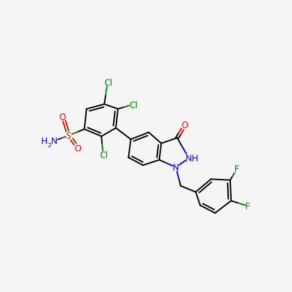 NS(=O)(=O)c1cc(Cl)c(Cl)c(-c2ccc3c(c2)c(=O)[nH]n3Cc2ccc(F)c(F)c2)c1Cl